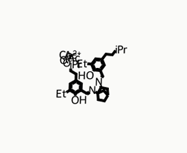 CC(=O)[O-].CC(=O)[O-].CCc1cc(CCC(C)C)cc(C=NC2CC3CCC2(N=Cc2cc(CCC(C)C)cc(CC)c2O)C3)c1O.[Co+2]